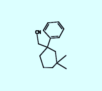 CC1(C)CCCC(CC#N)(c2ccccc2)C1